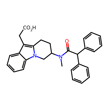 CN(C(=O)C(c1ccccc1)c1ccccc1)C1CCc2c(CC(=O)O)c3ccccc3n2C1